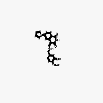 COc1ccc(CNC=C2C(=O)NC(=O)c3ccc(-n4cccc4)cc32)cc1O